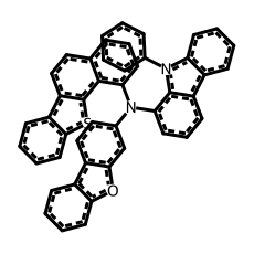 c1ccc(-n2c3ccccc3c3cccc(N(c4ccc5c(c4)oc4ccccc45)c4cccc5ccc6c7ccccc7sc6c45)c32)cc1